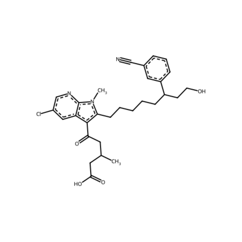 CC(CC(=O)O)CC(=O)c1c(CCCCCC(CCO)c2cccc(C#N)c2)n(C)c2ncc(Cl)cc12